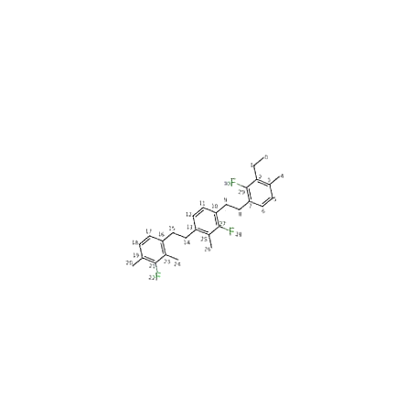 CCc1c(C)ccc(CCc2ccc(CCc3ccc(C)c(F)c3C)c(C)c2F)c1F